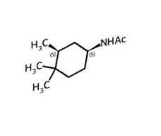 CC(=O)N[C@H]1CCC(C)(C)[C@@H](C)C1